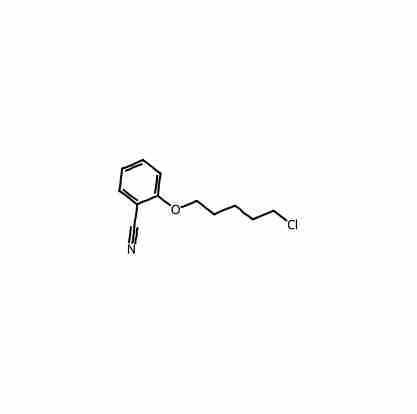 N#Cc1ccccc1OCCCCCCl